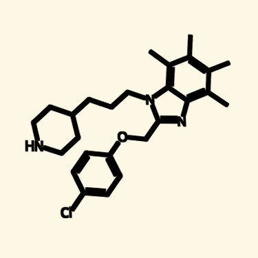 Cc1c(C)c(C)c2c(nc(COc3ccc(Cl)cc3)n2CCCC2CCNCC2)c1C